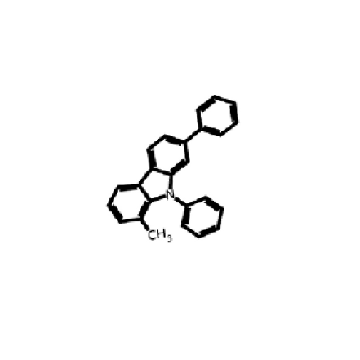 Cc1cccc2c3ccc(-c4ccccc4)cc3n(-c3ccccc3)c12